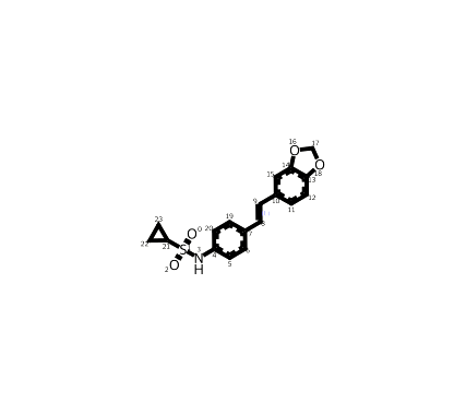 O=S(=O)(Nc1ccc(/C=C/c2ccc3c(c2)OCO3)cc1)C1CC1